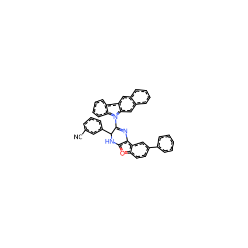 N#Cc1cccc(C2Nc3oc4ccc(-c5ccccc5)cc4c3N=C2n2c3ccccc3c3cc4ccccc4cc32)c1